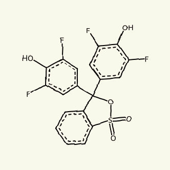 O=S1(=O)OC(c2cc(F)c(O)c(F)c2)(c2cc(F)c(O)c(F)c2)c2ccccc21